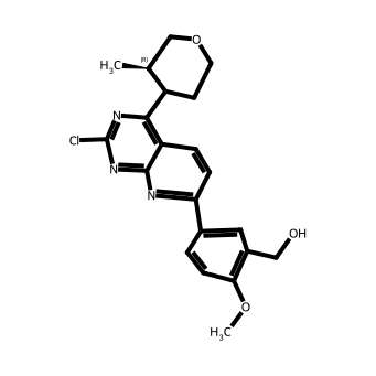 COc1ccc(-c2ccc3c(C4CCOC[C@@H]4C)nc(Cl)nc3n2)cc1CO